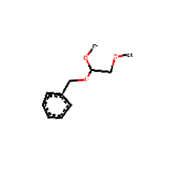 CCOCC(OCC)OCc1ccccc1